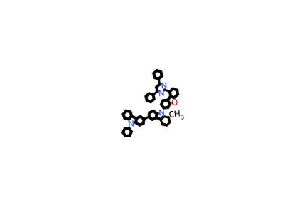 CC1CC=Cc2c1n(-c1ccc3c(c1)oc1cccc(-c4nc(-c5ccccc5)cc(-c5ccccc5)n4)c13)c1ccc(-c3ccc4c(c3)c3ccccc3n4-c3ccccc3)cc21